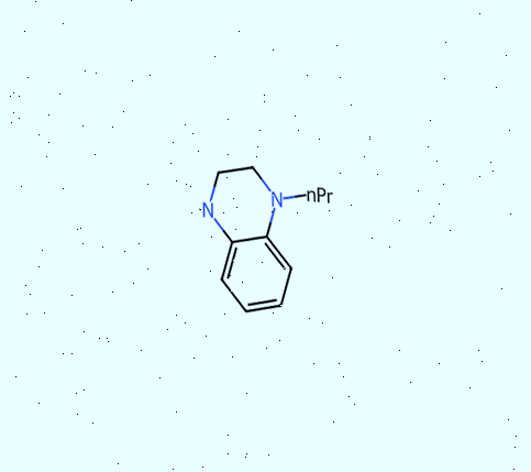 CCCN1CC[N]c2ccccc21